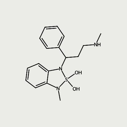 CNCCC(c1ccccc1)N1c2ccccc2N(C)S1(O)O